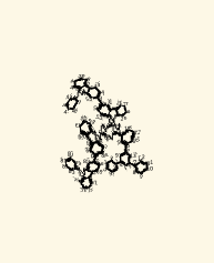 c1ccc(-c2cc(-c3ccccc3)cc(-c3cccc(-c4nc(-n5c6ccccc6c6cc(-c7ccc8c9ccccc9n(-c9ccccc9)c8c7)ccc65)nc(-n5c6ccccc6c6cc(-c7ccc8c9ccccc9n(-c9ccccc9)c8c7)ccc65)n4)c3)c2)cc1